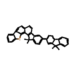 CC1(C)c2ccccc2-c2ccc(-c3ccc4c(c3)-c3ccc5ccc6c7ccccc7sc6c5c3C4(C)C)cc21